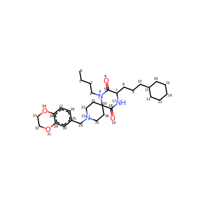 CCCCN1C(=O)C(CCCC2CCCCC2)NC(=O)C12CCN(Cc1ccc3c(c1)OCCO3)CC2